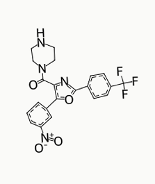 O=C(c1nc(-c2ccc(C(F)(F)F)cc2)oc1-c1cccc([N+](=O)[O-])c1)N1CCNCC1